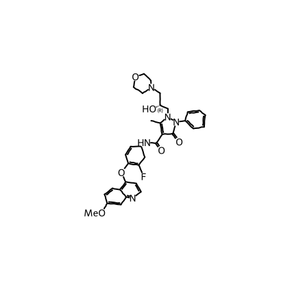 COc1ccc2c(OC3=C(F)CC(NC(=O)c4c(C)n(C[C@H](O)CN5CCOCC5)n(-c5ccccc5)c4=O)C=C3)ccnc2c1